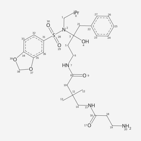 CC(C)CN(C(O)(CCNC(=O)CC(C)(C)CNC(=O)CCN)Cc1ccccc1)S(=O)(=O)c1ccc2c(c1)OCO2